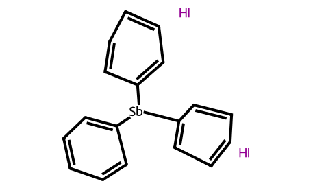 I.I.c1cc[c]([Sb]([c]2ccccc2)[c]2ccccc2)cc1